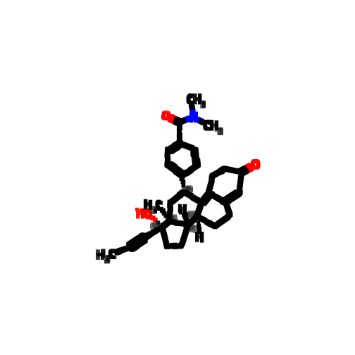 CC#C[C@]1(O)CC[C@H]2[C@@H]3CCC4=CC(=O)CCC4=C3[C@@H](c3ccc(C(=O)N(C)C)cc3)C[C@@]21C